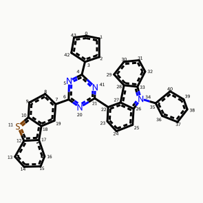 c1ccc(-c2nc(-c3ccc4sc5ccccc5c4c3)nc(-c3cccc4c3c3ccccc3n4-c3ccccc3)n2)cc1